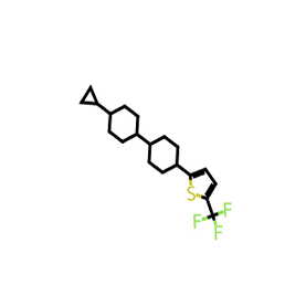 FC(F)(F)c1ccc(C2CCC(C3CCC(C4CC4)CC3)CC2)s1